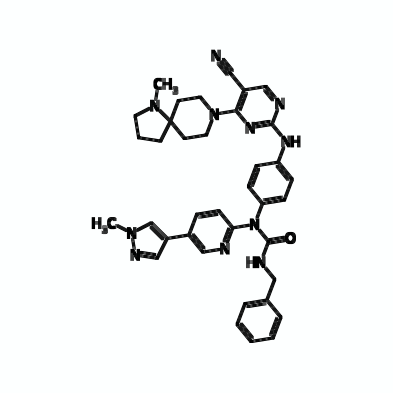 CN1CCCC12CCN(c1nc(Nc3ccc(N(C(=O)NCc4ccccc4)c4ccc(-c5cnn(C)c5)cn4)cc3)ncc1C#N)CC2